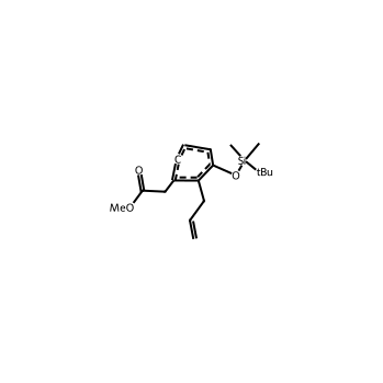 C=CCc1c(CC(=O)OC)cccc1O[Si](C)(C)C(C)(C)C